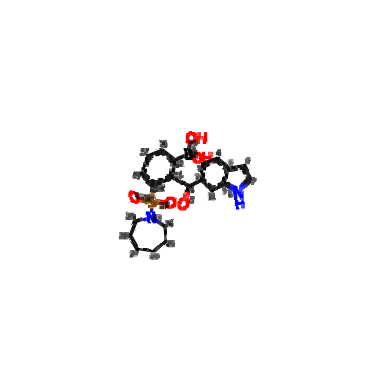 O=C(c1ccc2cc[nH]c2c1)c1c(B(O)O)cccc1S(=O)(=O)N1CCCCCC1